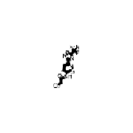 O=C(CCl)Nc1ccc(-c2noc(C(F)(F)F)n2)nc1